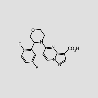 O=C(O)c1cnn2ccc(N3CCOCC3c3cc(F)ccc3F)nc12